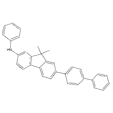 CC1(C)c2cc(Nc3ccccc3)ccc2-c2ccc(-c3ccc(-c4ccccc4)cc3)cc21